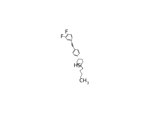 CCCCC[Si@H]1CC[C@H](c2ccc(C#Cc3ccc(F)c(F)c3)cc2)CC1